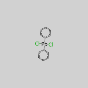 [Cl][Pb]([Cl])([c]1ccccc1)[c]1ccccc1